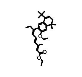 CCOC(=O)/C=C(C)/C=C/C=C(/CC)c1cc2c(cc1OCC)C(C)(C)CC=C2C(C)(C)C